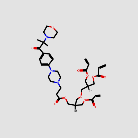 C=CC(=O)OCC(CC)(COCC(CC)(COC(=O)C=C)COC(=O)CCN1CCN(c2ccc(C(=O)C(C)(C)N3CCOCC3)cc2)CC1)COC(=O)C=C